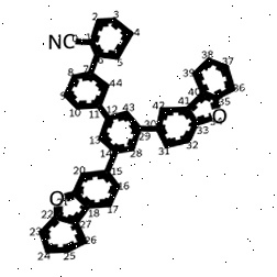 N#Cc1ccccc1-c1cccc(-c2cc(-c3ccc4c(c3)oc3ccccc34)cc(-c3ccc4oc5ccccc5c4c3)c2)c1